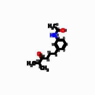 CC(=O)Nc1cccc(CCCC(=O)C(C)C)c1